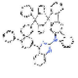 c1ccc(-c2ccc(-c3nc(-n4c5ccccc5c5cc6c(cc54)C4(c5ccccc5-6)c5ccccc5C5(c6ccccc6-c6ccccc65)c5ccccc54)nc4ccccc34)cc2)cc1